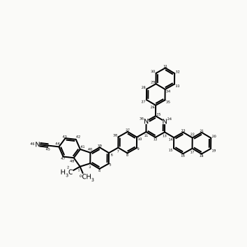 CC1(C)c2ccc(-c3ccc(-c4cc(-c5ccc6ccccc6c5)nc(-c5ccc6ccccc6c5)n4)cc3)cc2-c2ccc(C#N)cc21